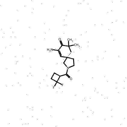 CC1(C)C[C@]2(C=C(N)C1=O)CCN(C(=O)C1CCC1(F)F)C2